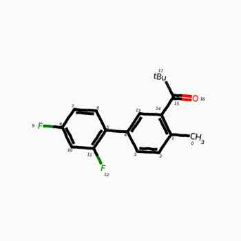 Cc1ccc(-c2ccc(F)cc2F)cc1C(=O)C(C)(C)C